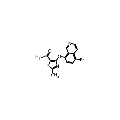 CC(=O)c1sc(C)nc1Oc1ccc(Br)c2ccncc12